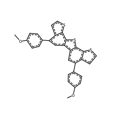 COc1ccc(-c2cc3c4cc(-c5ccc(OC)cc5)c5ccsc5c4sc3c3sccc23)cc1